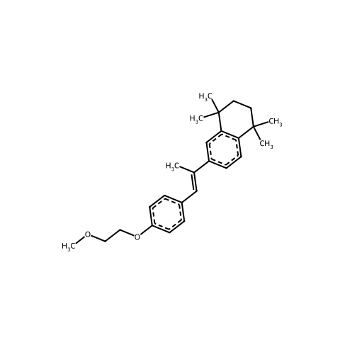 COCCOc1ccc(/C=C(\C)c2ccc3c(c2)C(C)(C)CCC3(C)C)cc1